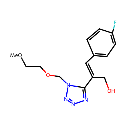 COCCOCn1nnnc1C(=Cc1ccc(F)cc1)CO